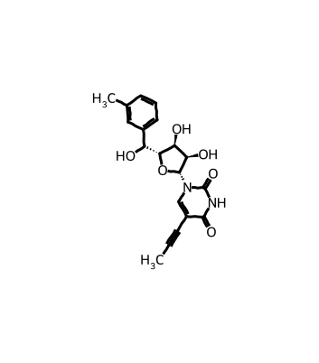 CC#Cc1cn([C@@H]2O[C@H](C(O)c3cccc(C)c3)[C@@H](O)[C@H]2O)c(=O)[nH]c1=O